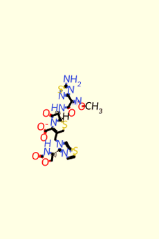 CO/N=C(\C(=O)N[C@@H]1C(=O)N2C(C(=O)[O-])=C(Cn3cc4scc[n+]4c3[C@@H]3COC(=O)N3)CS[C@H]12)c1nsc(N)n1